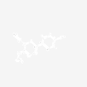 COC(=O)C(C#N)CC(=O)c1ccc(Cl)cc1